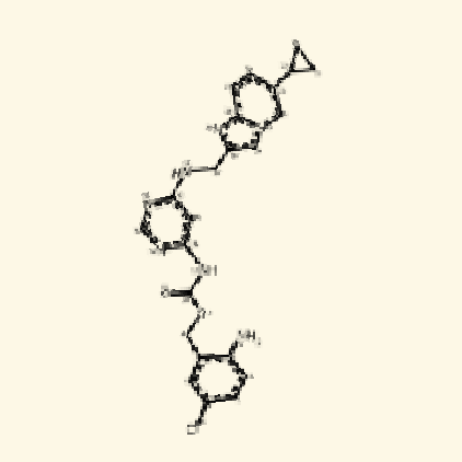 Nc1ccc(Cl)cc1COC(=O)Nc1cc(NCc2cn3cc(C4CC4)ccc3n2)ncn1